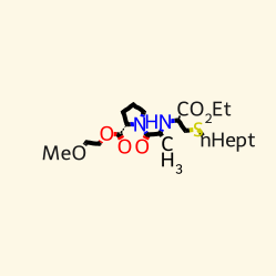 CCCCCCCSC[C@H](NC(C)C(=O)N1CCC[C@H]1C(=O)OCCOC)C(=O)OCC